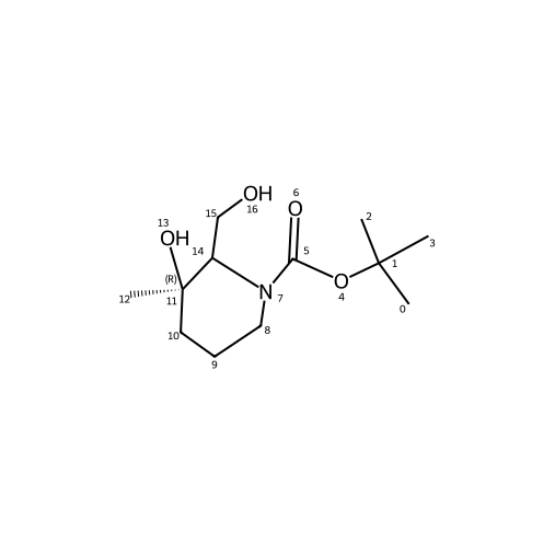 CC(C)(C)OC(=O)N1CCC[C@@](C)(O)C1CO